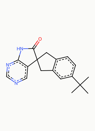 CC(C)(C)c1ccc2c(c1)CC1(C2)C(=O)Nc2ncncc21